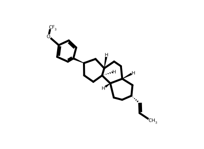 CC=C[C@@H]1CC[C@H]2[C@H](CC[C@H]3C[C@H](c4ccc(OC(F)(F)F)cc4)CC[C@@H]32)C1